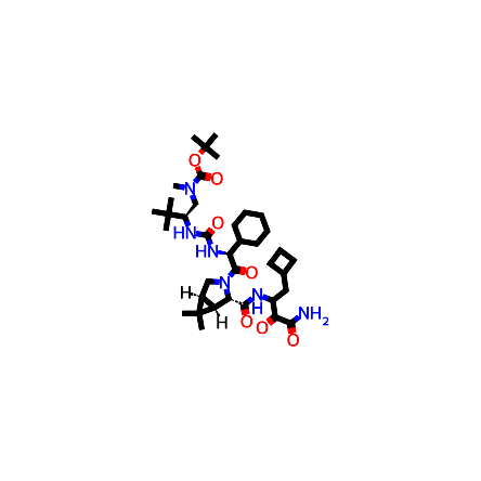 CN(C[C@@H](NC(=O)N[C@H](C(=O)N1C[C@H]2[C@@H]([C@H]1C(=O)NC(CC1CCC1)C(=O)C(N)=O)C2(C)C)C1CCCCC1)C(C)(C)C)C(=O)OC(C)(C)C